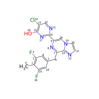 Cc1c(F)cc(Cc2nc(-c3ncc(Cl)c(O)n3)cn3ccnc23)cc1F